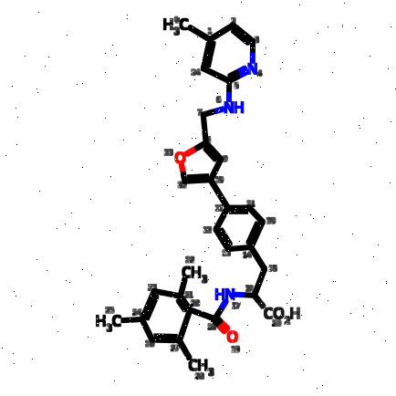 Cc1ccnc(NCc2cc(-c3ccc(CC(NC(=O)c4c(C)cc(C)cc4C)C(=O)O)cc3)co2)c1